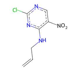 C=CCNc1nc(Cl)ncc1[N+](=O)[O-]